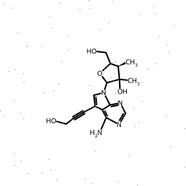 C[C@@H]1C(CO)OC(n2cc(C#CCO)c3c(N)ncnc32)C1(C)O